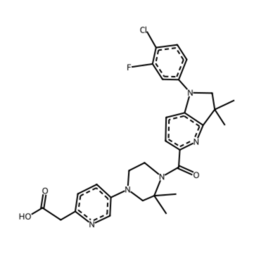 CC1(C)CN(c2ccc(Cl)c(F)c2)c2ccc(C(=O)N3CCN(c4ccc(CC(=O)O)nc4)CC3(C)C)nc21